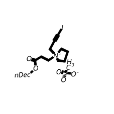 CCCCCCCCCCOC(=O)CC[N+]1(CC#CI)CCCC1.CS(=O)(=O)[O-]